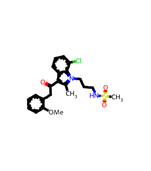 COc1ccccc1CC(=O)c1c(C)n(CCCNS(C)(=O)=O)c2c(Cl)cccc12